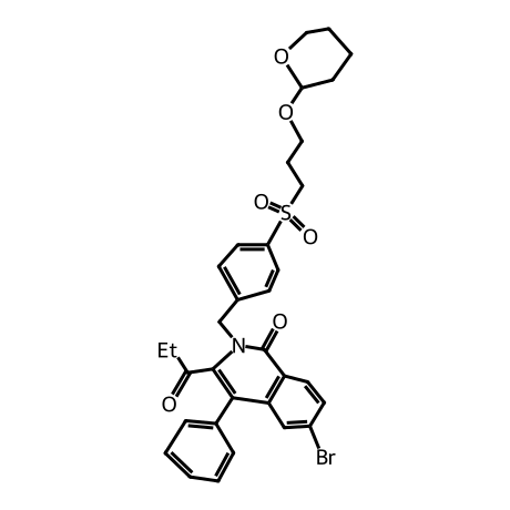 CCC(=O)c1c(-c2ccccc2)c2cc(Br)ccc2c(=O)n1Cc1ccc(S(=O)(=O)CCCOC2CCCCO2)cc1